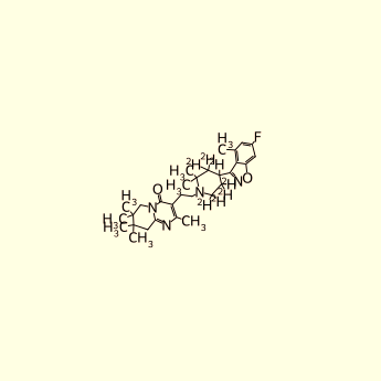 [2H]C1([2H])N(CCc2c(C)nc3n(c2=O)CC(C)(C)C(C)(C)C3)C(C)(C)C([2H])([2H])C([2H])(c2noc3cc(F)cc(C)c23)C1([2H])[2H]